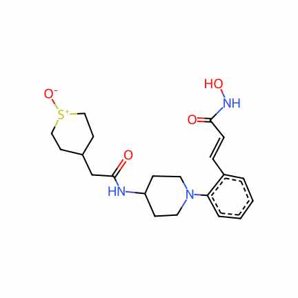 O=C(/C=C/c1ccccc1N1CCC(NC(=O)CC2CC[S+]([O-])CC2)CC1)NO